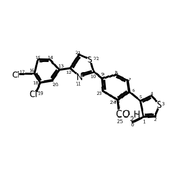 Cc1cscc1-c1ccc(-c2nc(-c3ccc(Cl)c(Cl)c3)cs2)cc1C(=O)O